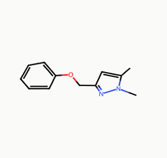 Cc1cc(COc2ccccc2)nn1C